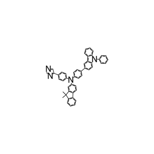 CC1(C)c2ccccc2-c2ccc(N(c3ccc(C4=NCN=C4)cc3)c3ccc(-c4ccc5c(c4)c4ccccc4n5-c4ccccc4)cc3)cc21